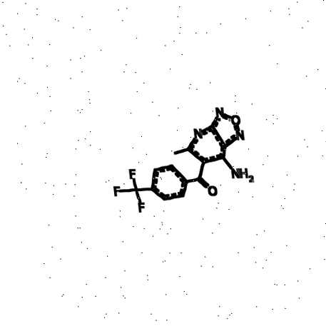 Cc1nc2nonc2c(N)c1C(=O)c1ccc(C(F)(F)F)cc1